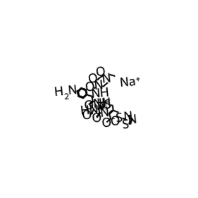 CCN1CCN(C(=O)NC(C(=O)N[C@]2(NC=O)C(=O)N3C(C(=O)[O-])=C(CSc4nncs4)CS[C@H]32)c2ccc(N)cc2)C(=O)C1=O.[Na+]